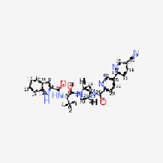 CC(C)(C)[C@H](NC(=O)c1cc2ccccc2[nH]1)C(=O)N1C[C@@H]2C[C@H]1CN2C(=O)c1ccc(-c2ccc(C#N)cn2)cn1